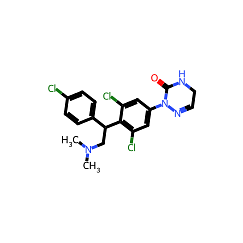 CN(C)CC(c1ccc(Cl)cc1)c1c(Cl)cc(N2N=CCNC2=O)cc1Cl